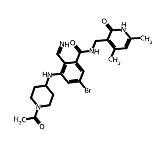 CC(=O)N1CCC(Nc2cc(Br)cc(C(=O)NCc3c(C)cc(C)[nH]c3=O)c2C=N)CC1